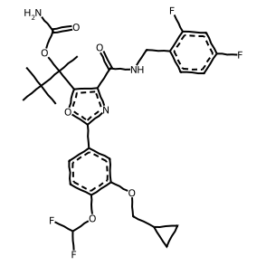 CC(C)(C)C(C)(OC(N)=O)c1oc(-c2ccc(OC(F)F)c(OCC3CC3)c2)nc1C(=O)NCc1ccc(F)cc1F